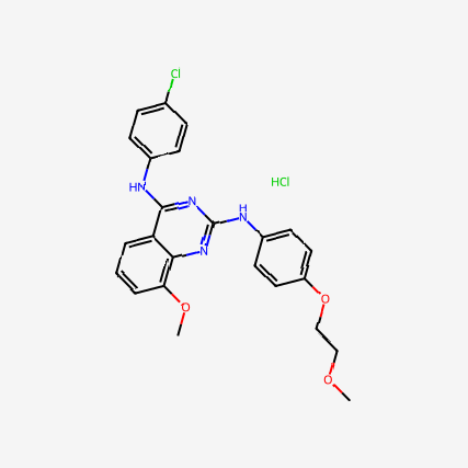 COCCOc1ccc(Nc2nc(Nc3ccc(Cl)cc3)c3cccc(OC)c3n2)cc1.Cl